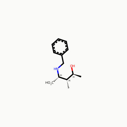 C[C@@H]([C@H](C)O)[C@@H](NCc1ccccc1)C(=O)O